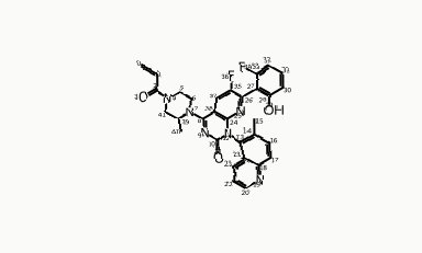 C=CC(=O)N1CCN(c2nc(=O)n(-c3c(C)ccc4ncccc34)c3nc(-c4c(O)cccc4F)c(F)cc23)C(C)C1